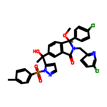 CO[C@]1(c2ccc(Cl)cc2)c2ccc(C(C)(O)c3ccnn3S(=O)(=O)c3ccc(C)cc3)cc2C(=O)N1Cc1ccc(Cl)cn1